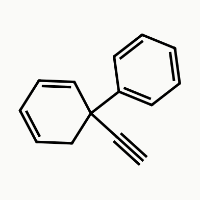 C#CC1(c2ccccc2)C=CC=CC1